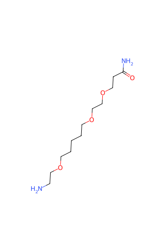 NCCOCCCCCOCCOCCC(N)=O